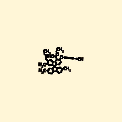 C#CC#CC#COc1ccc(C2(c3ccc(CNCC)c(C)c3)c3cc(C)ccc3-c3ccc(C)cc32)cc1C(=O)OCC